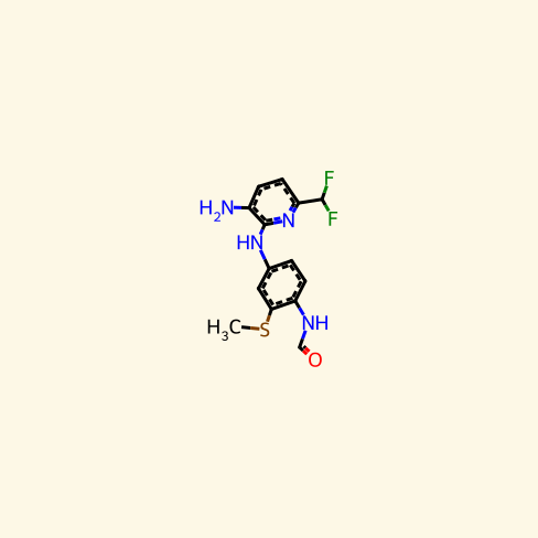 CSc1cc(Nc2nc(C(F)F)ccc2N)ccc1NC=O